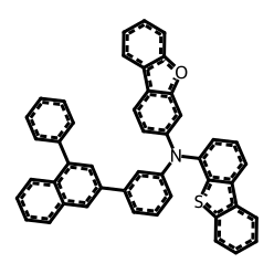 c1ccc(-c2cc(-c3cccc(N(c4ccc5c(c4)oc4ccccc45)c4cccc5c4sc4ccccc45)c3)cc3ccccc23)cc1